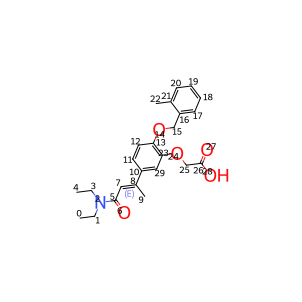 CCN(CC)C(=O)/C=C(\C)c1ccc(OCc2ccccc2C)c(OCC(=O)O)c1